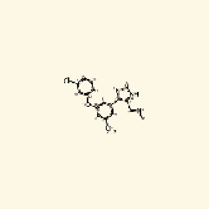 C/N=C/c1[nH]nnc1-c1cc(Oc2cccc(Cl)c2)cc(C(F)(F)F)c1